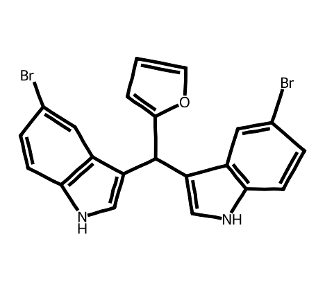 Brc1ccc2[nH]cc(C(c3ccco3)c3c[nH]c4ccc(Br)cc34)c2c1